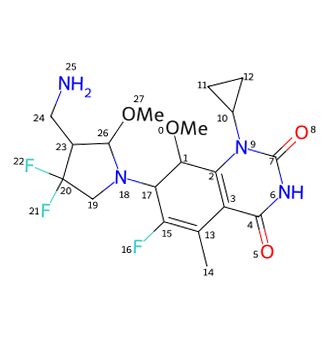 COC1c2c(c(=O)[nH]c(=O)n2C2CC2)C(C)=C(F)C1N1CC(F)(F)C(CN)C1OC